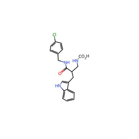 O=C(O)NCC(Cc1c[nH]c2ccccc12)C(=O)NCc1ccc(Cl)cc1